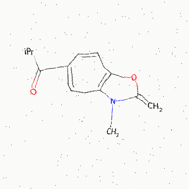 C=C1Oc2ccc(C(=O)C(C)C)cc2N1C